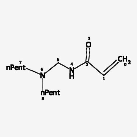 C=CC(=O)NCN(CCCCC)CCCCC